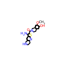 COc1cc2c(cc1O)CCN(C(=O)c1sc3nc4c(cc3c1N)CNCC4)C2